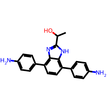 CC(O)c1nc2c(-c3ccc(N)cc3)ccc(-c3ccc(N)cc3)c2[nH]1